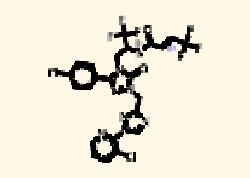 O=C(/C=C/C(F)(F)F)NC(Cn1c(-c2ccc(Cl)cc2)nn(Cc2ncn(-c3ncccc3Cl)n2)c1=O)C(F)(F)F